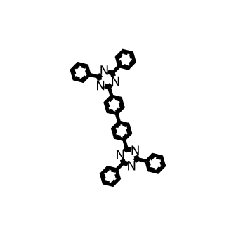 c1ccc(-c2nc(-c3ccccc3)nc(-c3ccc(-c4ccc(-c5nc(-c6ccccc6)nc(-c6ccccc6)n5)cc4)cc3)n2)cc1